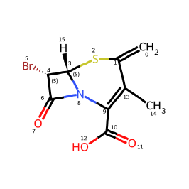 C=C1S[C@H]2[C@@H](Br)C(=O)N2C(C(=O)O)=C1C